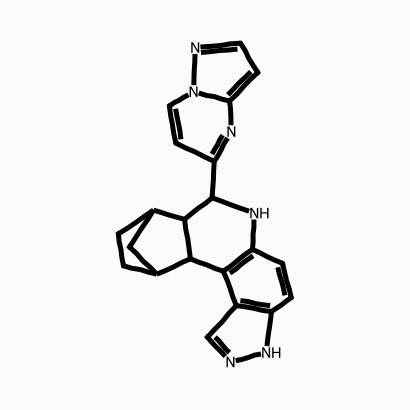 c1cc2nc(C3Nc4ccc5[nH]ncc5c4C4C5CCC(C5)C34)ccn2n1